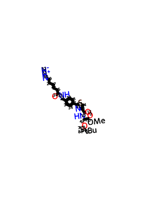 COC(=O)[C@H](CO[Si](C)(C)C(C)(C)C)NC(=O)c1csc(-c2ccc(CNC(=O)CCCCCN=[N+]=[N-])cc2)n1